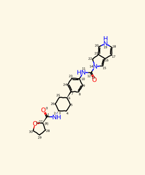 O=C(N[C@H]1CC[C@H](c2ccc(NC(=O)N3C=C4C=CNC=C4C3)cc2)CC1)[C@H]1CCCO1